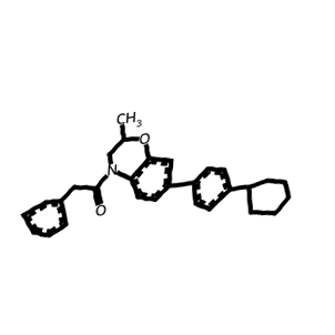 CC1CN(C(=O)Cc2ccccc2)c2ccc(-c3ccc(C4CCCCC4)cc3)cc2O1